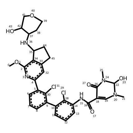 COc1nc(-c2cccc(-c3cccc(NC(=O)C4=CN(C)C(O)N(C)C4=O)c3Cl)c2Cl)cc2c1C(NC1CCOCC1O)CC2